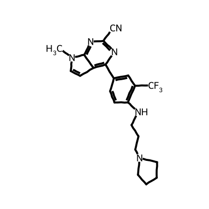 Cn1ccc2c(-c3ccc(NCCCN4CCCC4)c(C(F)(F)F)c3)nc(C#N)nc21